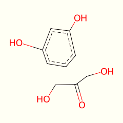 O=C(CO)CO.Oc1cccc(O)c1